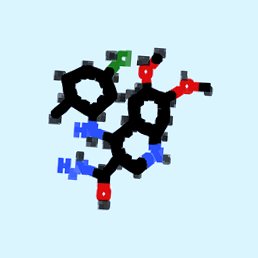 COc1cc2ncc(C(N)=O)c(Nc3cc(Cl)ccc3C)c2cc1OC